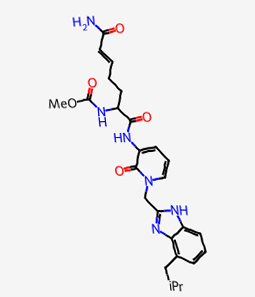 COC(=O)NC(CCC=CC(N)=O)C(=O)Nc1cccn(Cc2nc3c(CC(C)C)cccc3[nH]2)c1=O